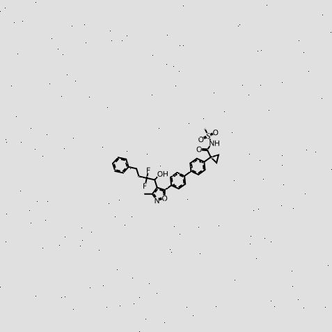 Cc1noc(-c2ccc(-c3ccc(C4(C(=O)NS(C)(=O)=O)CC4)cc3)cc2)c1C(O)C(F)(F)CCc1ccccc1